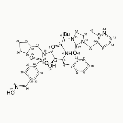 CC[C@H](C)[C@@H](C(=O)N[C@@H](Cc1ccccc1)[C@@H](O)CN(CC1CCCC1)S(=O)(=O)c1ccc(C=NO)cc1)N1CCN(Cc2cccnc2C)C1=O